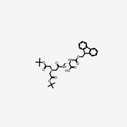 CC(C)(C)OC(=O)CN(CC(=O)NC[C@H](NC(=O)OCC1c2ccccc2-c2ccccc21)C(=O)O)CC(=O)OC(C)(C)C